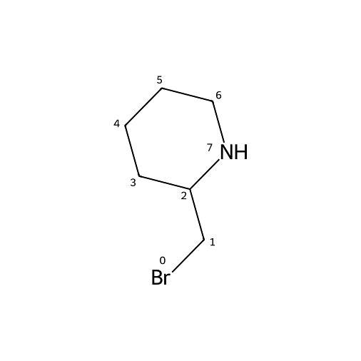 BrCC1CCCCN1